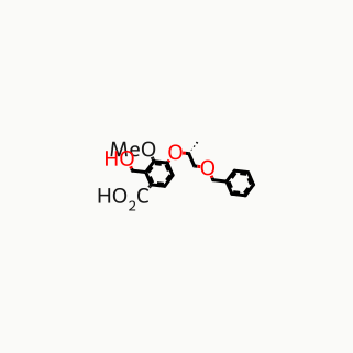 COc1c(O[C@H](C)COCc2ccccc2)ccc(C(=O)O)c1CO